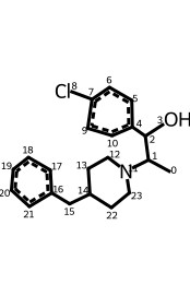 CC(C(O)c1ccc(Cl)cc1)N1CCC(Cc2ccccc2)CC1